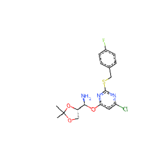 CC1(C)OC[C@@H]([C@@H](N)Oc2cc(Cl)nc(SCc3ccc(F)cc3)n2)O1